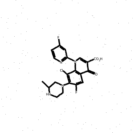 CC1CN(c2c(F)cc3c(=O)c(C(=O)O)cn(-c4cc(F)ccn4)c3c2Cl)CCN1